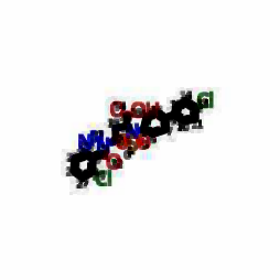 CS(=O)(=O)N(c1ccc(-c2ccc(Cl)cc2)cc1)C(CCn1nnc2cccc(Cl)c2c1=O)C(=O)O